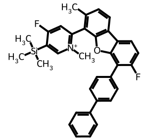 Cc1ccc2c(oc3c(-c4ccc(-c5ccccc5)cc4)c(F)ccc32)c1-c1cc(F)c([Si](C)(C)C)c[n+]1C